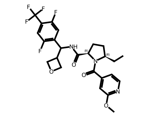 CC[C@@H]1CC[C@H](C(=O)NC(c2cc(F)c(C(F)(F)F)cc2F)C2COC2)N1C(=O)c1ccnc(OC)c1